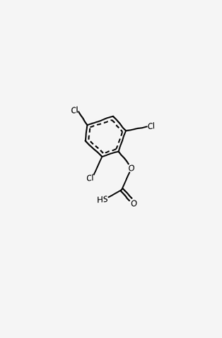 O=C(S)Oc1c(Cl)cc(Cl)cc1Cl